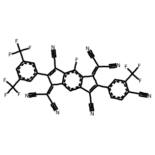 N#CC(C#N)=C1C(c2cc(C(F)(F)F)cc(C(F)(F)F)c2)=C(C#N)c2c1cc1c(c2F)C(=C(C#N)C#N)C(c2ccc(C#N)c(C(F)(F)F)c2)=C1C#N